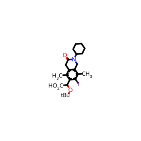 Cc1c(I)c(C(OC(C)(C)C)C(=O)O)c(C)c2c1CN(C1CCCCC1)C(=O)C2